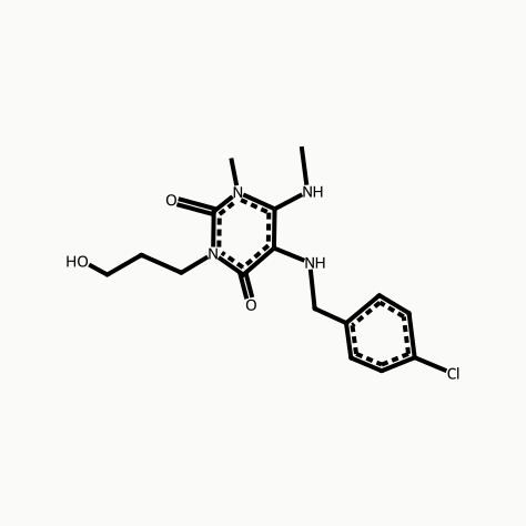 CNc1c(NCc2ccc(Cl)cc2)c(=O)n(CCCO)c(=O)n1C